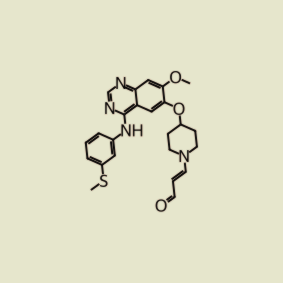 COc1cc2ncnc(Nc3cccc(SC)c3)c2cc1OC1CCN(C=CC=O)CC1